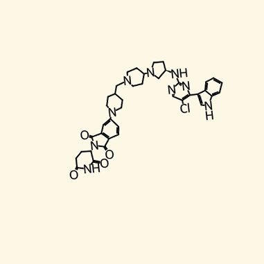 O=C1CCC(N2C(=O)c3ccc(N4CCC(CN5CCC(N6CC[C@@H](Nc7ncc(Cl)c(-c8c[nH]c9ccccc89)n7)C6)CC5)CC4)cc3C2=O)C(=O)N1